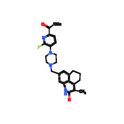 CNC(=O)c1ccc(N2CCN(Cc3cc4c5c(c(C)c(=O)[nH]c5c3)CCC4)CC2)c(F)n1